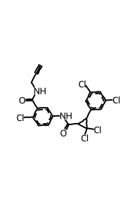 C#CCNC(=O)c1cc(NC(=O)C2C(c3cc(Cl)cc(Cl)c3)C2(Cl)Cl)ccc1Cl